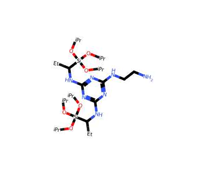 CCC(Nc1nc(NCCN)nc(NC(CC)[Si](OC(C)C)(OC(C)C)OC(C)C)n1)[Si](OC(C)C)(OC(C)C)OC(C)C